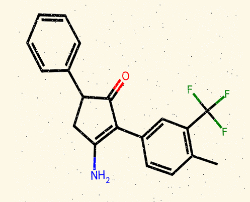 Cc1ccc(C2=C(N)CC(c3ccccc3)C2=O)cc1C(F)(F)F